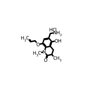 C=CCOc1cc(CN)c(O)c2c1N(C)C(=O)C(C)C2.Cl